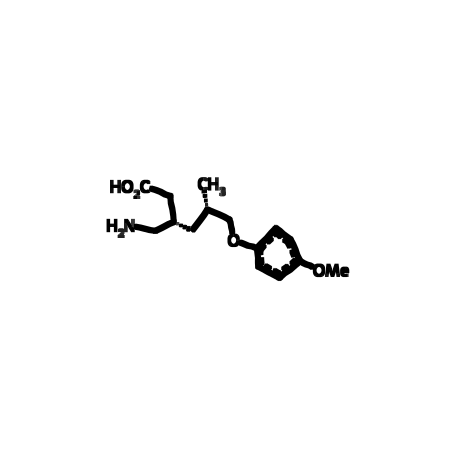 COc1ccc(OC[C@@H](C)C[C@H](CN)CC(=O)O)cc1